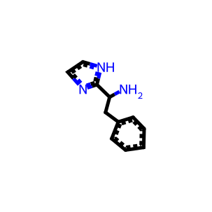 NC(Cc1ccccc1)c1ncc[nH]1